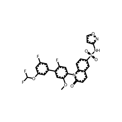 COc1cc(-c2cc(F)cc(OC(F)F)c2)c(F)cc1-n1c(=O)ccc2cc(S(=O)(=O)Nc3ccon3)ccc21